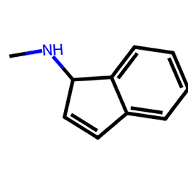 CNC1C=Cc2ccccc21